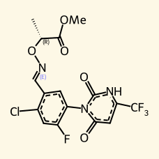 COC(=O)[C@@H](C)O/N=C/c1cc(-n2c(=O)cc(C(F)(F)F)[nH]c2=O)c(F)cc1Cl